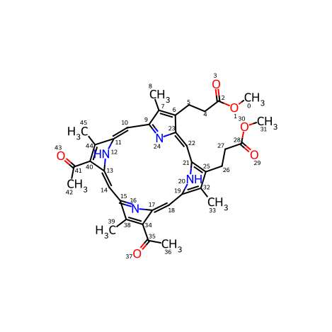 COC(=O)CCC1=C(C)c2cc3[nH]c(cc4nc(cc5[nH]c(cc1n2)c(CCC(=O)OC)c5C)C(C(C)=O)=C4C)c(C(C)=O)c3C